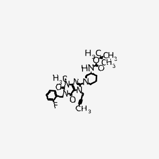 CC#CCn1c(N2CCC[C@@H](NC(=O)OC(C)(C)C)C2)nc2c1c(=O)n(Cc1ccccc1F)c(=O)n2C